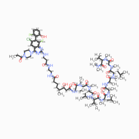 C=CC(=O)N1CCN(c2nc(NCCC(=O)NCCNC(=O)CCC[C@@H](C)[C@@H](O)CC(=O)N[C@@H](CC)C(=O)N(C)CC(=O)N(C)[C@@H](CC(C)C)C(=O)NC(C(=O)N(C)[C@@H](CC(C)C)C(=O)N[C@@H](C)C(=O)N[C@H](C)C(=O)N(C)[C@@H](CC(C)C)C(=O)N(C)CC(=O)N(C)C(C(=O)N(C)C)C(C)C)C(C)C)nc3c(F)c(-c4c(O)cccc4F)c(Cl)cc23)CC1